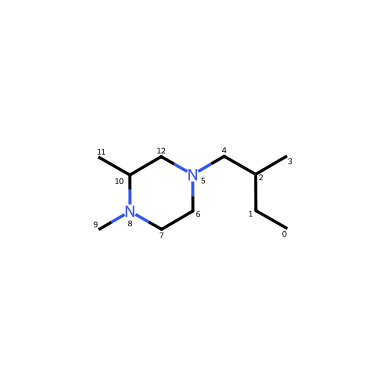 CCC(C)CN1CCN(C)C(C)C1